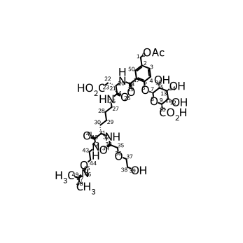 CC(=O)OCc1ccc(O[C@@H]2O[C@H](C(=O)O)[C@@H](O)[C@H](O)[C@H]2O)c(C(=O)N[C@@H](CC(=O)O)C(=O)NCCCC[C@H](NC(=O)COCCO)C(=O)NCCON=C(C)C)c1